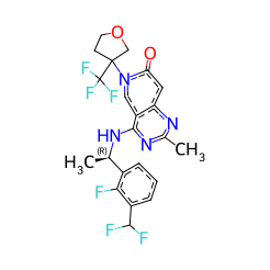 Cc1nc(N[C@H](C)c2cccc(C(F)F)c2F)c2cn(C3(C(F)(F)F)CCOC3)c(=O)cc2n1